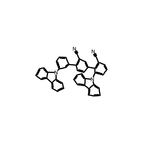 N#Cc1cc(-c2c(C#N)cccc2-n2c3ccccc3c3ccccc32)ccc1-c1cccc(-n2c3ccccc3c3ccccc32)c1